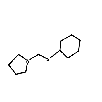 C1CCC(SCN2CCCC2)CC1